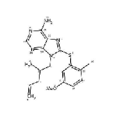 C=CCC(N)Cn1c(Sc2cc(OC)ccc2I)nc2c(N)ncnc21